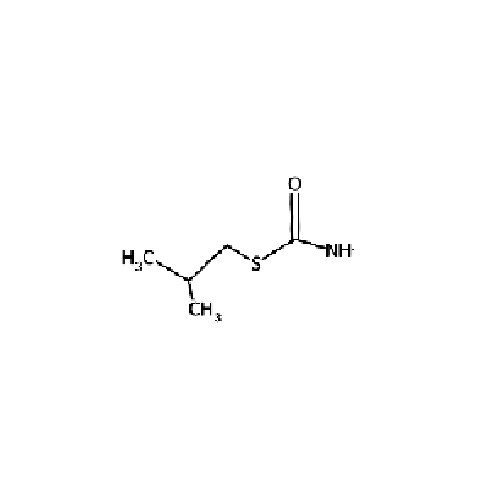 CC(C)CSC([NH])=O